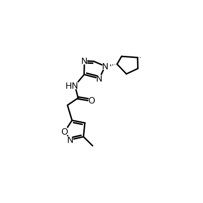 Cc1cc(CC(=O)Nc2ncn([C@@H]3C[CH]CC3)n2)on1